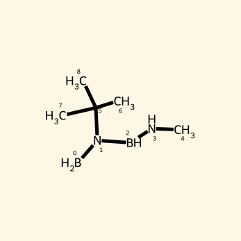 BN(BNC)C(C)(C)C